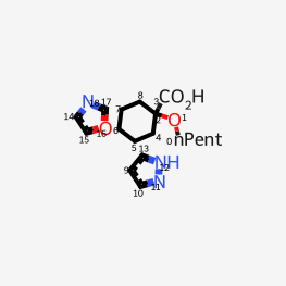 CCCCCOC1(C(=O)O)CCCCC1.c1cn[nH]c1.c1cocn1